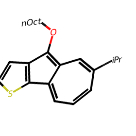 CCCCCCCCOc1c2cc(C(C)C)cccc-2c2sccc12